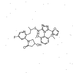 COc1cccc(OC)c1-n1c(NSC(C)Cc2ncc(F)cc2N2CC(O)CC2=O)nnc1-c1ccco1